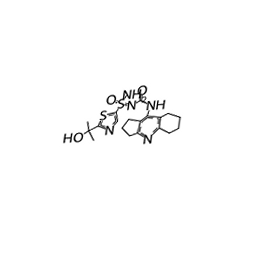 CC(C)(O)c1ncc(S(N)(=O)=NC(=O)Nc2c3c(nc4c2CCC4)CCCC3)s1